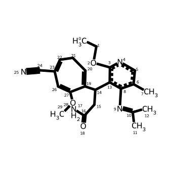 CCOc1ncc(C)c(N=C(C)C)c1C(CC(N)=O)C1=CCC=C(C#N)C=C1OC